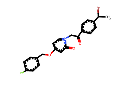 CC(Br)c1ccc(C(=O)Cn2ccc(OCc3ccc(F)cc3)cc2=O)cc1